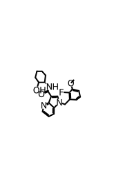 COc1cccc(Cn2cc(C(=O)N[C@H]3CCCCC3O)c3ncccc32)c1F